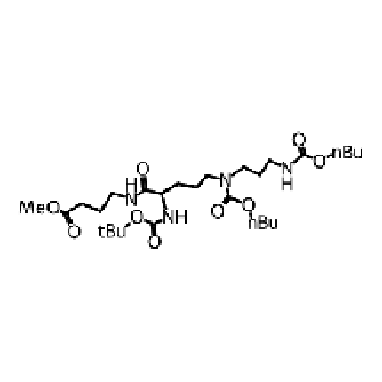 CCCCOC(=O)NCCCN(CCCC(NC(=O)OC(C)(C)C)C(=O)NCCCC(=O)OC)C(=O)OCCCC